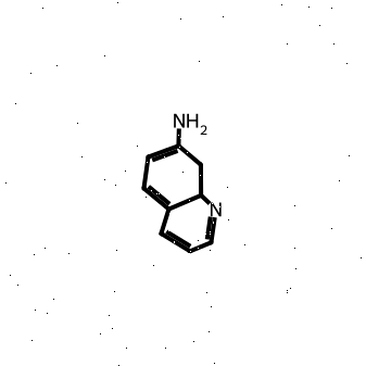 NC1=CC=C2C=CC=NC2C1